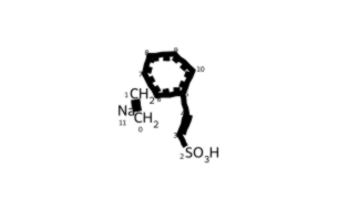 C=C.O=S(=O)(O)C=Cc1ccccc1.[Na]